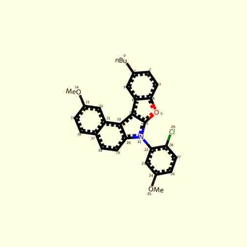 CCCCc1ccc2oc3c(c2c1)c1c2cc(OC)ccc2ccc1n3-c1cc(OC)ccc1Cl